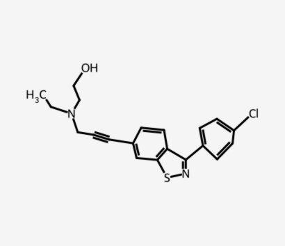 CCN(CC#Cc1ccc2c(-c3ccc(Cl)cc3)nsc2c1)CCO